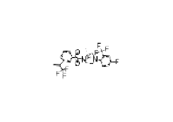 C=C(c1cccc(S(=O)(=O)N2CCN(c3ccc(F)cc3C(F)(F)F)C[C@H]2C)c1)C(F)(F)F